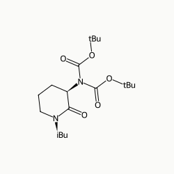 CC[C@H](C)N1CCC[C@@H](N(C(=O)OC(C)(C)C)C(=O)OC(C)(C)C)C1=O